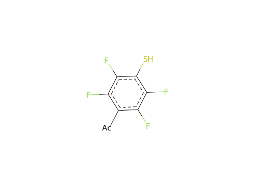 CC(=O)c1c(F)c(F)c(S)c(F)c1F